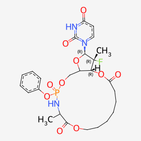 CC1NP(=O)(Oc2ccccc2)OCC2O[C@@H](n3ccc(=O)[nH]c3=O)[C@](C)(F)[C@@H]2OC(=O)CCCCCCOC1=O